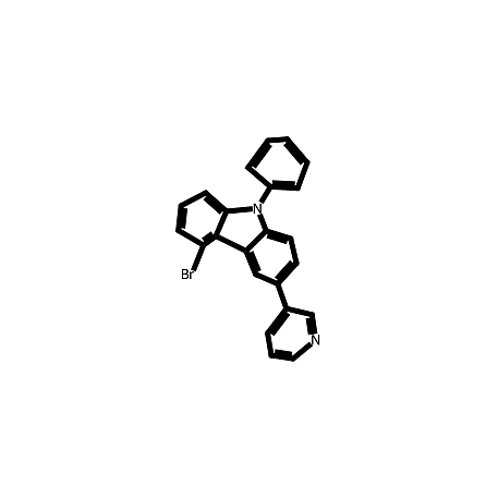 Brc1cccc2c1c1cc(-c3cccnc3)ccc1n2-c1ccccc1